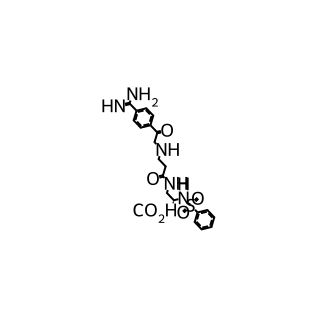 N=C(N)c1ccc(C(=O)CNCCC(=O)NC[C@H](NS(=O)(=O)c2ccccc2)C(=O)O)cc1